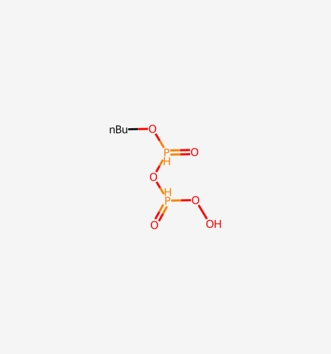 CCCCO[PH](=O)O[PH](=O)OO